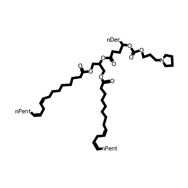 CCCCC/C=C\C/C=C\CCCCCCCC(=O)OCC(COC(=O)CCCCCCC/C=C\C/C=C\CCCCC)OC(=O)CCC(CCCCCCCCCC)OC(=O)OCCCN1CCCC1